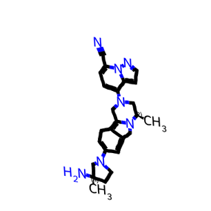 C[C@@H]1CN(c2ccc(C#N)n3nccc23)CC2=C3CC=C(N4CC[C@@](C)(N)C4)C=C3CN21